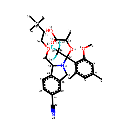 COc1cc(C)cc(C)c1C(OC(C)C(=O)O)(N1Cc2cc(C#N)ccc2C1COCC[Si](C)(C)C)C(F)(F)F